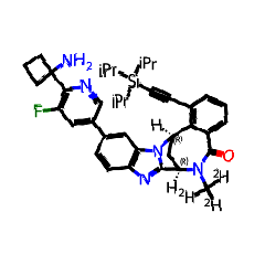 [2H]C([2H])([2H])N1C(=O)c2cccc(C#C[Si](C(C)C)(C(C)C)C(C)C)c2[C@H]2C[C@@H]1c1nc3ccc(-c4cnc(C5(N)CCC5)c(F)c4)cc3n12